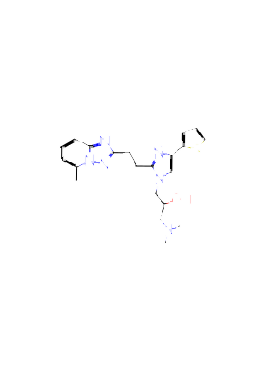 Cc1cccc2nc(CCc3nc(-c4cccs4)cn3CC(O)CN(C)C)nn12